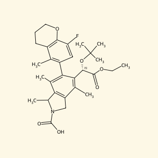 CCOC(=O)[C@@H](OC(C)(C)C)c1c(C)c2c(c(C)c1-c1cc(F)c3c(c1C)CCCO3)C(C)N(C(=O)O)C2